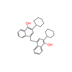 Oc1c(C2CCCCC2)cc(Cc2cc(C3CCCCC3)c(O)c3ccccc23)c2ccccc12